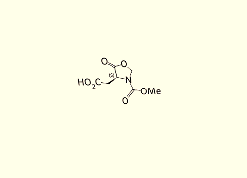 COC(=O)N1COC(=O)[C@@H]1CC(=O)O